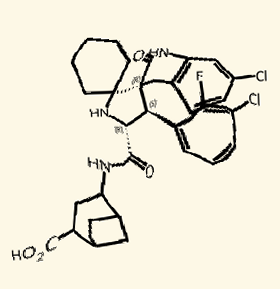 O=C(O)C1CC(NC(=O)[C@@H]2NC3(CCCCC3)[C@@]3(C(=O)Nc4cc(Cl)ccc43)[C@H]2c2cccc(Cl)c2F)C2CC1C2